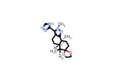 Cn1nc2c(c1-c1nnc[nH]1)CC[C@H]1C(C)(C)C3(CC[C@]21C)OCCO3